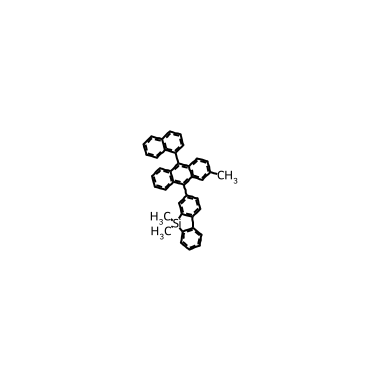 Cc1ccc2c(-c3cccc4ccccc34)c3ccccc3c(-c3ccc4c(c3)[Si](C)(C)c3ccccc3-4)c2c1